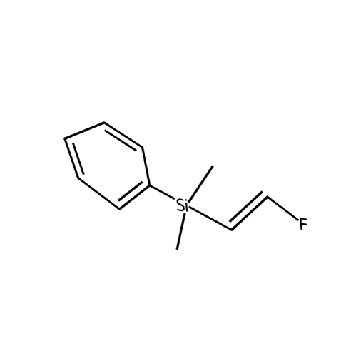 C[Si](C)(C=CF)c1ccccc1